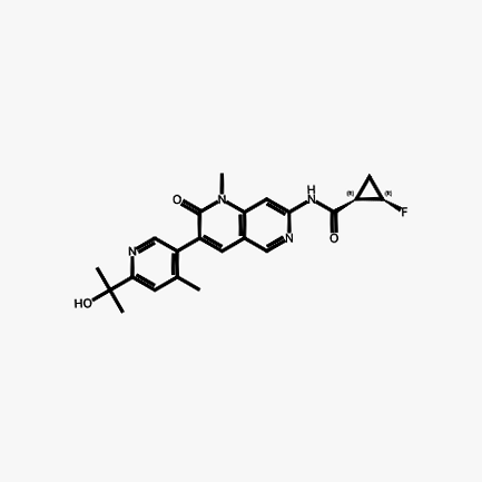 Cc1cc(C(C)(C)O)ncc1-c1cc2cnc(NC(=O)[C@H]3C[C@H]3F)cc2n(C)c1=O